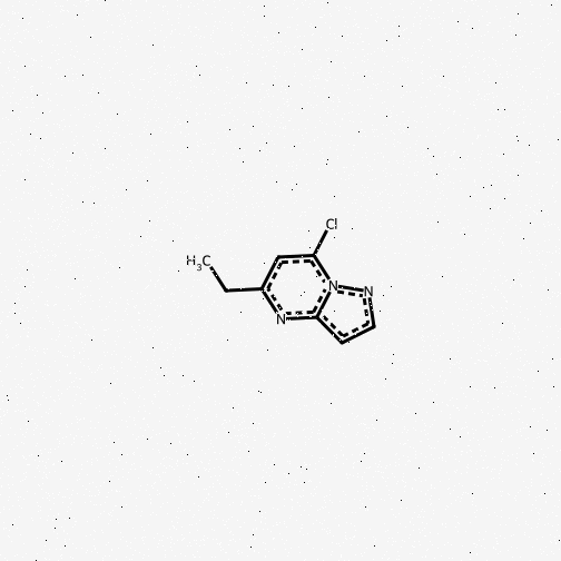 CCc1cc(Cl)n2nccc2n1